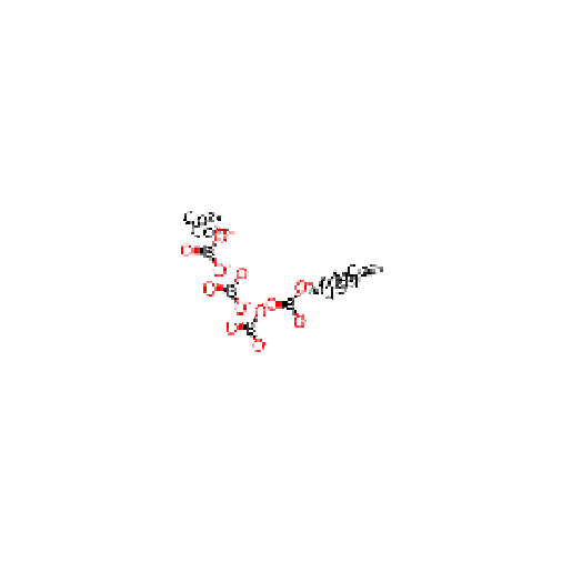 [Co+2].[Co+2].[Co+2].[Mg+2].[Mg+2].[Mg+2].[O-]B([O-])[O-].[O-]B([O-])[O-].[O-]B([O-])[O-].[O-]B([O-])[O-]